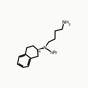 CCCN(CCCCN)[C@@H]1CCc2ccccc2C1